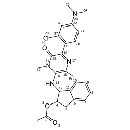 CC(=O)OC1Cc2ccccc2C1Nc1c(C)nc(-c2ccc(N(C)C)cc2Cl)c(=O)n1C